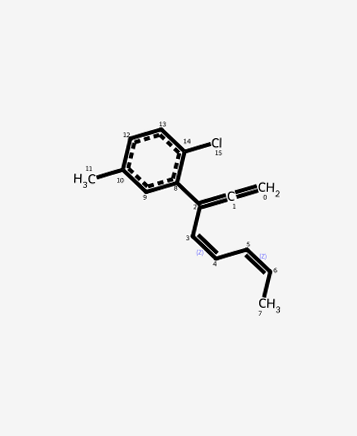 C=C=C(/C=C\C=C/C)c1cc(C)ccc1Cl